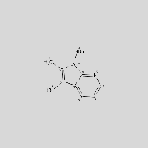 Cc1c(C(C)(C)C)c2nccnc2n1C(C)(C)C